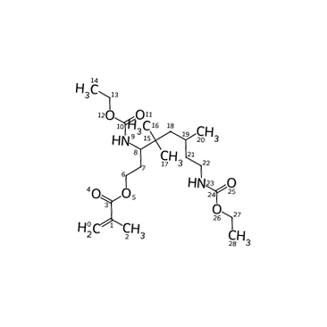 C=C(C)C(=O)OCCC(NC(=O)OCC)C(C)(C)CC(C)CCNC(=O)OCC